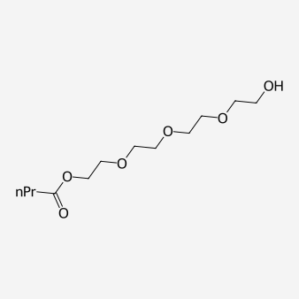 CCCC(=O)OCCOCCOCCOCCO